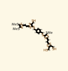 CSC1=C(SC)SC(=CC=C2SC(CS)=C(SCc3ccc(CSC4=C(SC)SC(=CC=C5SC(CS)=C(CS)S5)S4)cc3)S2)S1